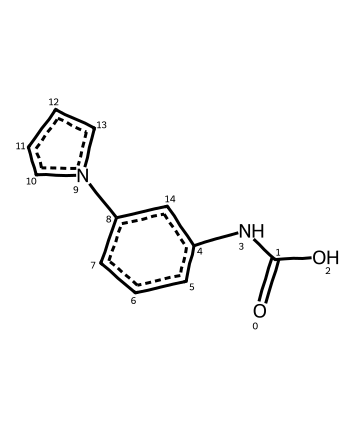 O=C(O)Nc1cccc(-n2cccc2)c1